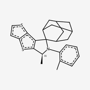 Cc1ccccc1N1[C@@H](C)c2sc3ccsc3c2C12C1CC3CC(C1)CC2C3